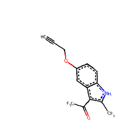 C#CCOc1ccc2[nH]c(C(F)(F)F)c(C(=O)C(F)(F)F)c2c1